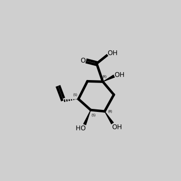 C=C[C@@H]1C[C@](O)(C(=O)O)C[C@@H](O)[C@H]1O